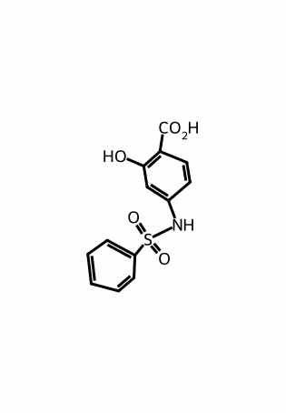 O=C(O)c1ccc(NS(=O)(=O)c2ccccc2)cc1O